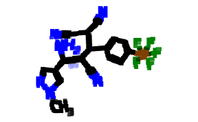 Cn1cc(/C(N)=C(\C#N)C(c2ccc(S(F)(F)(F)(F)F)cc2)C(C#N)C#N)cn1